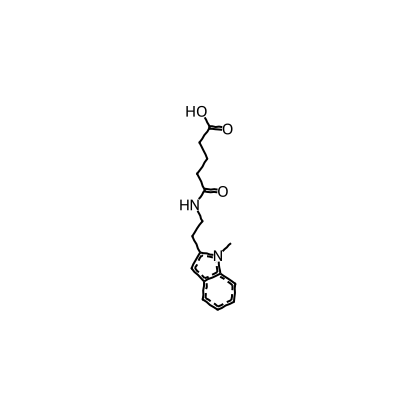 Cn1c(CCNC(=O)CCCC(=O)O)cc2ccccc21